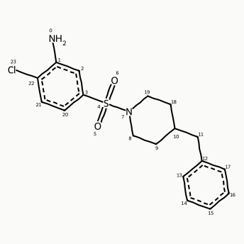 Nc1cc(S(=O)(=O)N2CCC(Cc3ccccc3)CC2)ccc1Cl